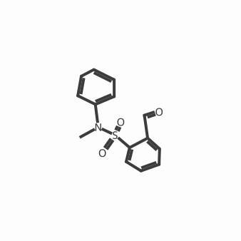 CN(c1ccccc1)S(=O)(=O)c1ccccc1C=O